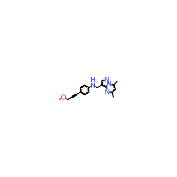 COCC#Cc1ccc(NCc2cnn3c(C)cc(C)nc23)cc1